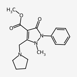 COC(=O)c1c(CN2CCCC2)n(C)n(-c2ccccc2)c1=O